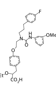 CCOC(Cc1ccc(OCCN(CCCc2ccc(F)cc2)C(=O)Nc2cccc(OC)c2)cc1)C(=O)O